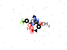 COc1ccc([C@@H]2C[C@H]2C(=O)O)cc1-c1cnc(N2CCC2)nc1CN1C(=O)O[C@H](c2cccc(C(F)(F)F)c2)[C@@H]1C